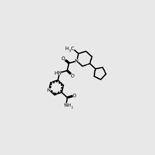 CC1CCC(C2CCCC2)CN1C(=O)C(=O)Nc1cncc(C(N)=O)c1